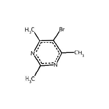 Cc1nc(C)c(Br)c(C)n1